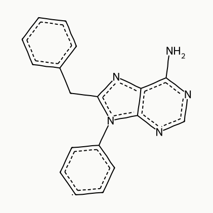 Nc1ncnc2c1nc(Cc1ccccc1)n2-c1cc[c]cc1